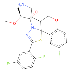 CO[C@@H](C)C(=O)N1N=C(c2cc(F)ccc2F)SC12c1cc(F)ccc1OCC2CCN